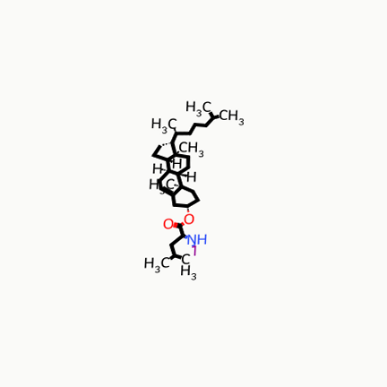 CC(C)CCC[C@@H](C)[C@H]1CC[C@H]2[C@@H]3CC=C4C[C@@H](OC(=O)C(CC(C)C)NI)CC[C@]4(C)[C@H]3CC[C@]12C